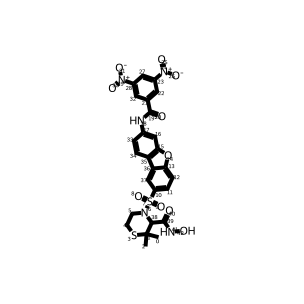 CC1(C)SCCN(S(=O)(=O)c2ccc3oc4cc(NC(=O)c5cc([N+](=O)[O-])cc([N+](=O)[O-])c5)ccc4c3c2)C1C(=O)NO